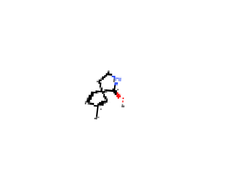 CC1=CC2(C=C1)CCNC2=O